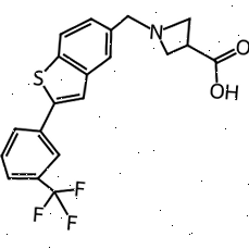 O=C(O)C1CN(Cc2ccc3sc(-c4cccc(C(F)(F)F)c4)cc3c2)C1